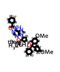 COc1ccc(C(OC[C@@H]2[CH][C@H](O[Si](C)(C)C(C)(C)C)[C@H](n3cnc4c(NC(=O)c5ccccc5)ncnc43)C2)(c2ccccc2)c2ccc(OC)cc2)cc1